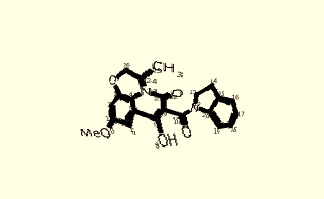 COc1cc2c3c(c1)c(O)c(C(=O)N1CCc4ccccc41)c(=O)n3C(C)CO2